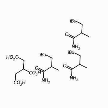 CCC(C)CC(C)C(N)=O.CCC(C)CC(C)C(N)=O.CCC(C)CC(C)C(N)=O.O=C(O)CC(CC(=O)O)C(=O)O